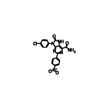 NC(=O)c1nc(-c2ccc([N+](=O)[O-])cc2)nc2c1[nH]c(=O)n2-c1ccc(Cl)cc1